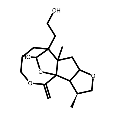 C=C1OCCCC2(CCO)C(O)OC13C1C(CC23C)OC[C@H]1C